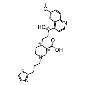 COc1ccc2nccc([C@H](O)CC[C@@H]3CCN(CCCc4nccs4)C[C@@H]3C(=O)O)c2c1